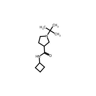 CC(C)(C)N1CCC(C(=O)NC2CCC2)C1